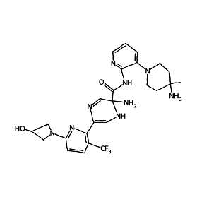 CC1(N)CCN(c2cccnc2NC(=O)C2(N)C=NC(c3nc(N4CC(O)C4)ccc3C(F)(F)F)=CN2)CC1